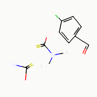 CN(C)C(O)=S.NC(O)=S.O=Cc1ccc(Cl)cc1